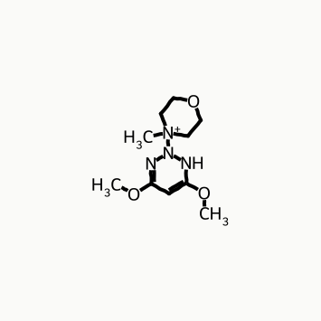 COC1=CC(OC)=NN([N+]2(C)CCOCC2)N1